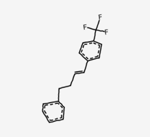 FC(F)(F)c1ccc(C=CCCc2ccccc2)cc1